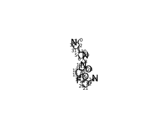 Cc1cc(-c2ccc(CN3Cc4cccc(Oc5c(F)cccc5C#N)c4C3=O)nc2)ccn1